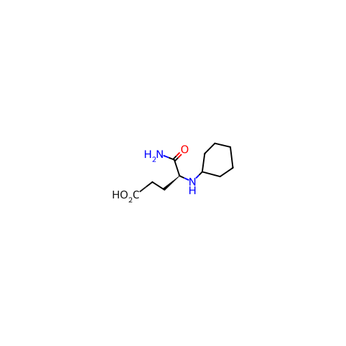 NC(=O)[C@H](CCC(=O)O)NC1CCCCC1